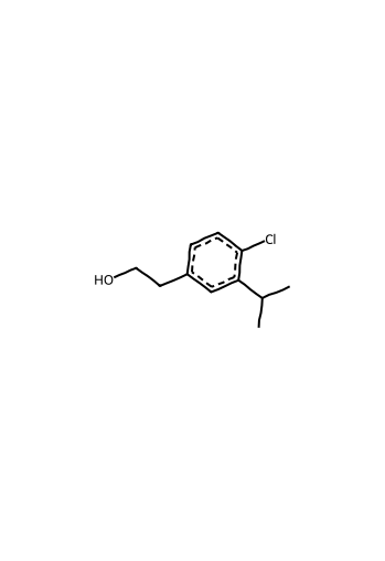 CC(C)c1cc(CCO)ccc1Cl